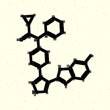 Cc1ccc2nc(-c3c[nH]nc3-c3ccc(N(C(=O)C4CC4)c4ccccc4)cc3)oc2c1